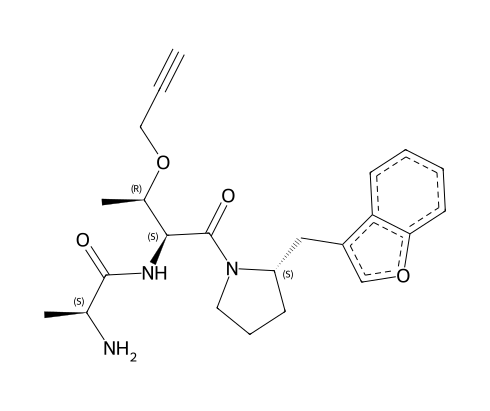 C#CCO[C@H](C)[C@H](NC(=O)[C@H](C)N)C(=O)N1CCC[C@H]1Cc1coc2ccccc12